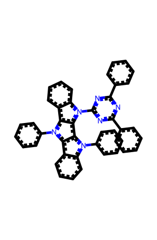 c1ccc(-c2nc(-c3ccccc3)nc(-n3c4ccccc4c4c3c3c(c5ccccc5n3-c3ccccc3)n4-c3ccccc3)n2)cc1